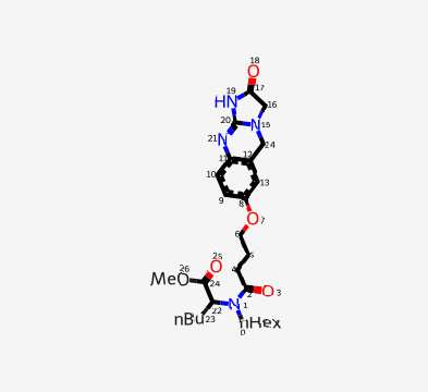 CCCCCCN(C(=O)CCCOc1ccc2c(c1)CN1CC(=O)NC1=N2)C(CCCC)C(=O)OC